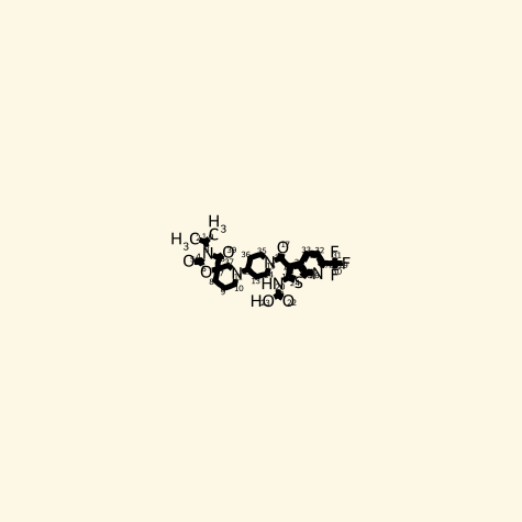 CC(C)N1C(=O)OC2(CCCN(C3CCN(C(=O)c4c(NC(=O)O)sc5nc(C(F)(F)F)ccc45)CC3)C2)C1=O